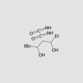 CCC(O)CC(O)C(C)(C)C.N=C=O.N=C=O